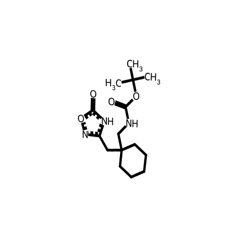 CC(C)(C)OC(=O)NCC1(Cc2noc(=O)[nH]2)CCCCC1